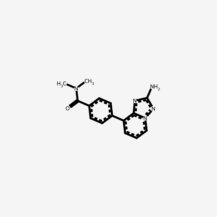 CN(C)C(=O)c1ccc(-c2cccn3nc(N)nc23)cc1